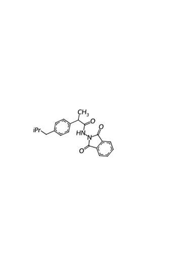 CC(C)Cc1ccc(C(C)C(=O)NN2C(=O)c3ccccc3C2=O)cc1